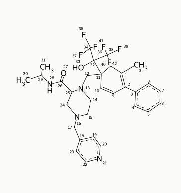 CC1=C(c2ccccc2)C=CC(CN2CCN(Cc3ccncc3)CC2C(=O)NC(C)C)(C(O)(C(F)(F)F)C(F)(F)F)C1